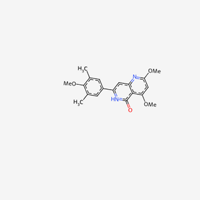 COc1cc(OC)c2c(=O)[nH]c(-c3cc(C)c(OC)c(C)c3)cc2n1